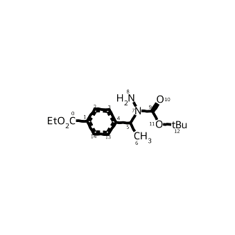 CCOC(=O)c1ccc(C(C)N(N)C(=O)OC(C)(C)C)cc1